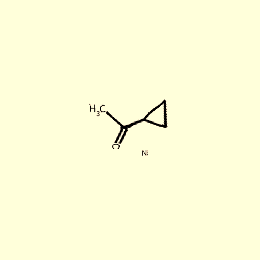 CC(=O)C1CC1.[N]